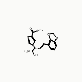 C[C@H](O)[C@@H](CCc1cccc2c1OCO2)n1cnc(C(N)=O)c1